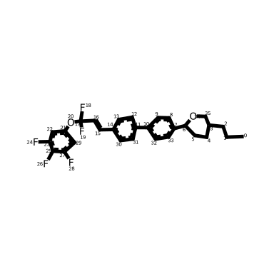 CCCC1CCC(c2ccc(-c3ccc(/C=C/C(F)(F)Oc4cc(F)c(F)c(F)c4)cc3)cc2)OC1